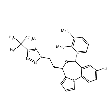 CCOC(=O)C(C)(C)c1nnn(CC[C@H]2O[C@H](c3cccc(OC)c3OC)c3cc(Cl)ccc3-n3cccc32)n1